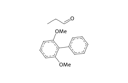 CCC=O.COc1cccc(OC)c1-c1ccccc1